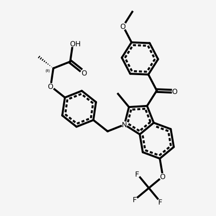 COc1ccc(C(=O)c2c(C)n(Cc3ccc(O[C@H](C)C(=O)O)cc3)c3cc(OC(F)(F)F)ccc23)cc1